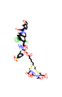 CC(=O)N[C@@H](CSSCC[C@@H](CCCCC(=O)OCOC(=O)[C@H](Cc1cccc(S(C)(=O)=O)c1)NC(=O)c1c(Cl)cc2c(c1Cl)CCN(C(=O)c1ccc3ccoc3c1)C2)SSC[C@H](NC(C)=O)C(=O)O)C(=O)O